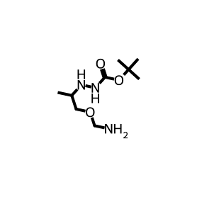 CC(COCN)NNC(=O)OC(C)(C)C